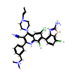 CC=CN1CCN(c2c(C#N)c(-c3cccc(CN(C)C)c3)nc3c(F)c(-c4ccc(F)c5sc(N)nc45)c(Cl)cc23)CC1